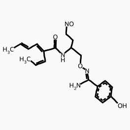 C\C=C/C(=C\C=C\C)C(=O)NC(CCN=O)CO/N=C(\N)c1ccc(O)cc1